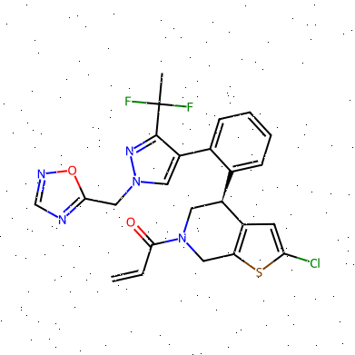 C=CC(=O)N1Cc2sc(Cl)cc2[C@H](c2ccccc2-c2cn(Cc3ncno3)nc2C(C)(F)F)C1